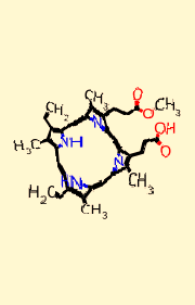 C=Cc1c(C)c2cc3[nH]c(cc4nc(cc5nc(cc1[nH]2)C(C)=C5CCC(=O)OC)C(CCC(=O)O)=C4C)c(C)c3C=C